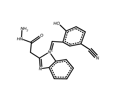 N#Cc1ccc(O)c(C=[N+]2C(CC(=O)NN)=Nc3ccccc32)c1